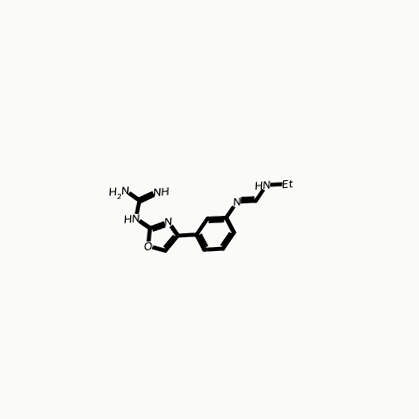 CCN/C=N/c1cccc(-c2coc(NC(=N)N)n2)c1